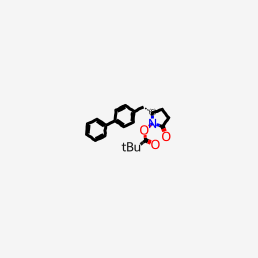 CC(C)(C)C(=O)ON1C(=O)CC[C@H]1Cc1ccc(-c2ccccc2)cc1